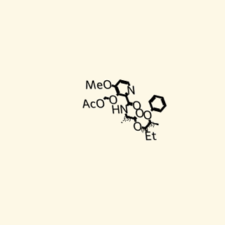 CC[C@@H](OC(=O)[C@H](C)NC(=O)c1nccc(OC)c1OCOC(C)=O)[C@H](C)Oc1ccccc1